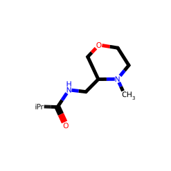 CC(C)C(=O)NCC1COCCN1C